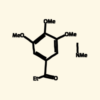 CCC(=O)c1cc(OC)c(OC)c(OC)c1.CNC